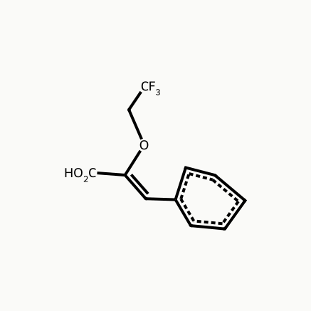 O=C(O)C(=Cc1ccccc1)OCC(F)(F)F